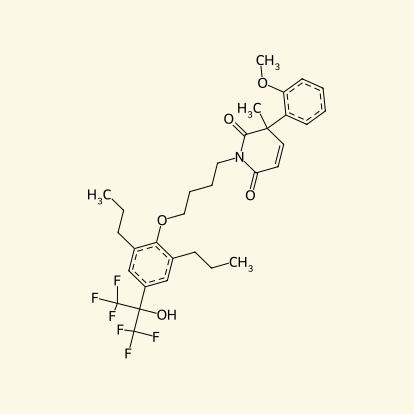 CCCc1cc(C(O)(C(F)(F)F)C(F)(F)F)cc(CCC)c1OCCCCN1C(=O)C=CC(C)(c2ccccc2OC)C1=O